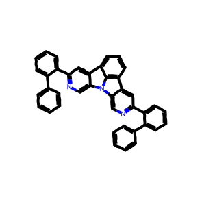 c1ccc(-c2ccccc2-c2cc3c4cccc5c6cc(-c7ccccc7-c7ccccc7)ncc6n(c3cn2)c45)cc1